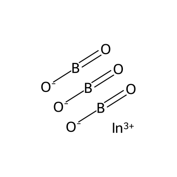 O=B[O-].O=B[O-].O=B[O-].[In+3]